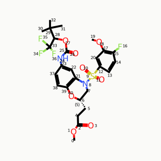 COC(=O)CC[C@H]1CN(S(=O)(=O)c2ccc(F)c(OC)c2)c2cc(NC(=O)OC(C(C)(C)C)C(F)(F)F)ccc2O1